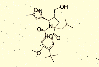 COc1cc(C(=O)N2[C@@H](c3cc(C)on3)[C@@H](CO)C[C@@]2(CC(C)C)C(=O)O)ccc1C(C)(C)C